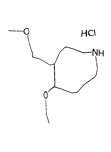 COCC1CNCCC1OC.Cl